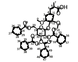 COc1cc(C=C(C)C(=O)O)cc(OC)c1O[C@@H]1O[C@H](COC(=O)c2ccccc2)[C@@H](OC(=O)c2ccccc2)[C@H](OC(=O)c2ccccc2)[C@H]1OC(=O)c1ccccc1